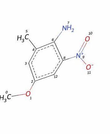 COc1cc(C)c(N)c([N+](=O)[O-])c1